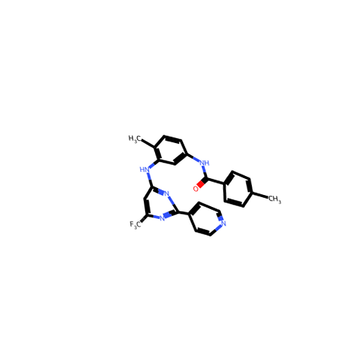 Cc1ccc(C(=O)Nc2ccc(C)c(Nc3cc(C(F)(F)F)nc(-c4ccncc4)n3)c2)cc1